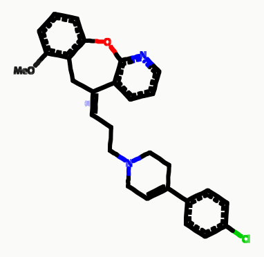 COc1cccc2c1C/C(=C/CCN1CC=C(c3ccc(Cl)cc3)CC1)c1cccnc1O2